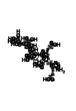 CC(Cn1cc(/C=C/C(=O)NC23C(O)OC2C2(COC4OC5C4(O)C4C(O)C(O)C54COC4OC5(O)C4C4C(O)C(O)C45CO)C(O)C(O)C23)c(=O)[nH]c1=O)C(CCn1cc(C#CCCC(=O)O)c2c(N)ncnc21)Cn1cc(C#CCCC(=O)O)c(=O)[nH]c1=O